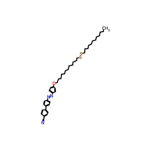 CCCCCCCCCCCCSSCCCCCCCCCCCCOc1ccc(/N=N/c2ccc(-c3ccc(C#N)cc3)cc2)cc1